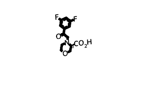 O=C(CN1CCOC[C@@H]1C(=O)O)c1cc(F)cc(F)c1